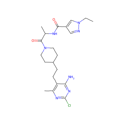 CCn1cc(C(=O)NC(C)C(=O)N2CCC(CCc3c(C)nc(Cl)nc3N)CC2)cn1